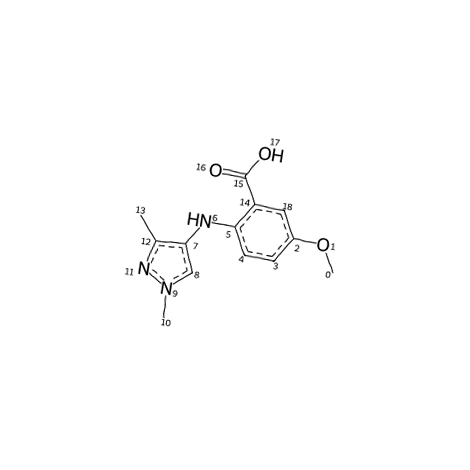 COc1ccc(Nc2cn(C)nc2C)c(C(=O)O)c1